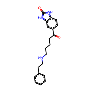 O=C(CCCCNCCc1ccccc1)c1ccc2[nH]c(=O)[nH]c2c1